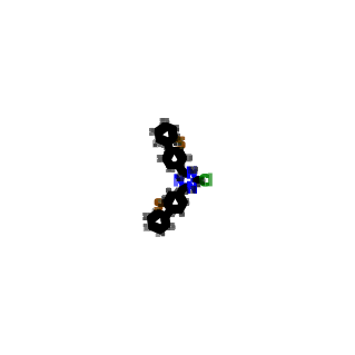 Clc1nc(-c2ccc3c(c2)sc2ccccc23)nc(C2C=c3sc4ccccc4c3=CC2)n1